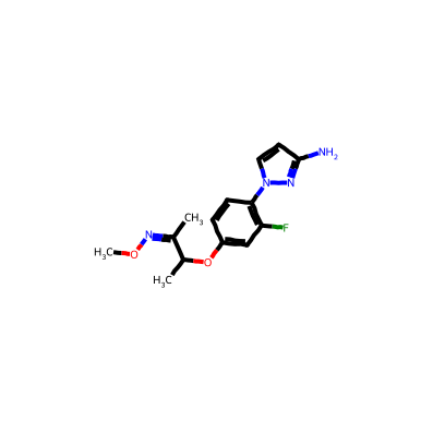 CO/N=C(/C)C(C)Oc1ccc(-n2ccc(N)n2)c(F)c1